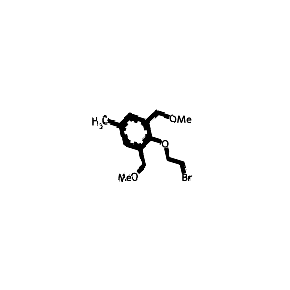 COCc1cc(C)cc(COC)c1OCCBr